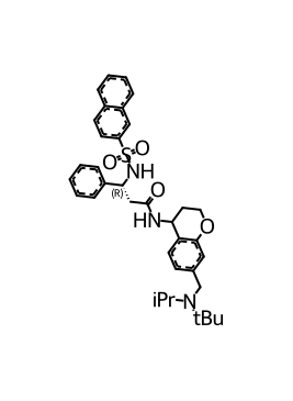 CC(C)N(Cc1ccc2c(c1)OCCC2NC(=O)C[C@@H](NS(=O)(=O)c1ccc2ccccc2c1)c1ccccc1)C(C)(C)C